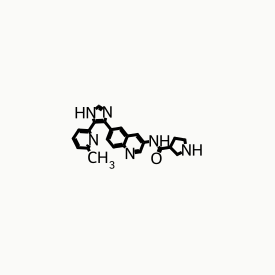 Cc1cccc(-c2[nH]cnc2-c2ccc3ncc(NC(=O)C4CCNC4)cc3c2)n1